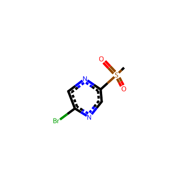 CS(=O)(=O)c1cnc(Br)cn1